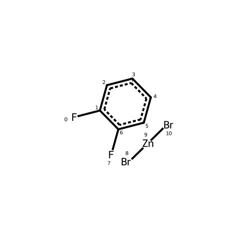 Fc1c[c]ccc1F.[Br][Zn][Br]